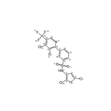 O=S(=O)(Nc1cc(Cl)sc1Cl)c1cccc(-c2ncc(C(F)(F)F)c(Cl)c2Cl)c1